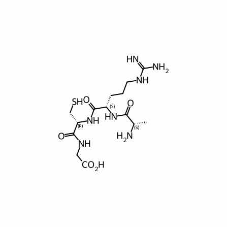 C[C@H](N)C(=O)N[C@@H](CCCNC(=N)N)C(=O)N[C@@H](CS)C(=O)NCC(=O)O